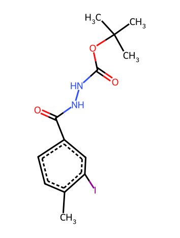 Cc1ccc(C(=O)NNC(=O)OC(C)(C)C)cc1I